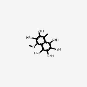 COc1[c]([RaH])[c]([RaH])c(C)c2[c]([RaH])[c]([RaH])[c]([RaH])[c]([RaH])c12